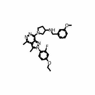 CCOc1ccc(-n2nc3c(N4CCC(NCc5cccc(OC)c5)C4)nnc(C)c3c2C)c(F)c1